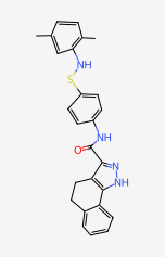 Cc1ccc(C)c(NSc2ccc(NC(=O)c3n[nH]c4c3CCc3ccccc3-4)cc2)c1